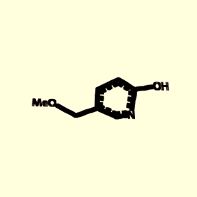 COCc1ccc(O)nc1